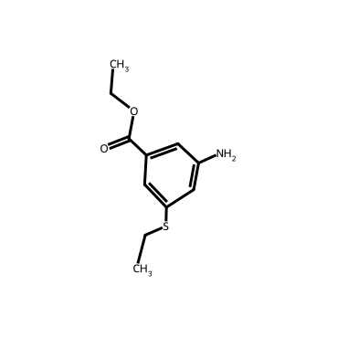 CCOC(=O)c1cc(N)cc(SCC)c1